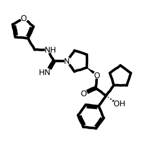 N=C(NCc1ccoc1)N1CC[C@@H](OC(=O)[C@](O)(c2ccccc2)C2CCCC2)C1